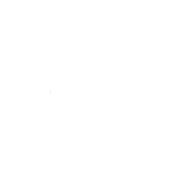 CC(C)C=O.CCCCC(O)(CC)C(=O)O